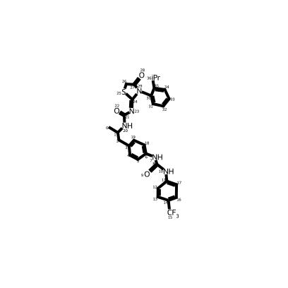 CC(Cc1ccc(NC(=O)Nc2ccc(C(F)(F)F)cc2)cc1)NC(=O)N=C1SCC(=O)N1c1ccccc1C(C)C